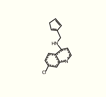 Clc1ccc2c(NCC3=CCC=C3)ccnc2c1